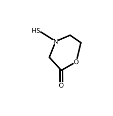 O=C1CN(S)CCO1